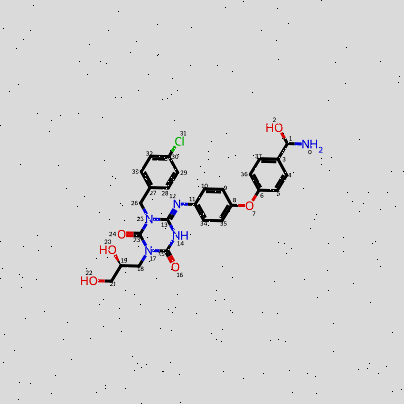 NC(O)c1ccc(Oc2ccc(/N=c3\[nH]c(=O)n(C[C@H](O)CO)c(=O)n3Cc3ccc(Cl)cc3)cc2)cc1